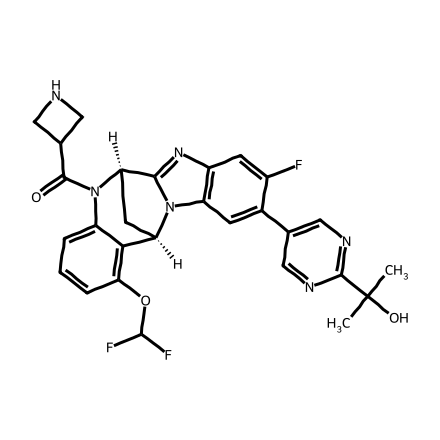 CC(C)(O)c1ncc(-c2cc3c(cc2F)nc2n3[C@@H]3C[C@H]2N(C(=O)C2CNC2)c2cccc(OC(F)F)c23)cn1